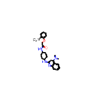 CN(C)c1cc(NC2CCC(NC(=O)COc3ccccc3[N+](=O)[O-])CC2)nc2ccccc12